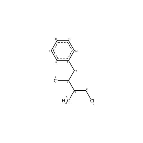 C[C](CCl)C(Cl)Cc1ccccc1